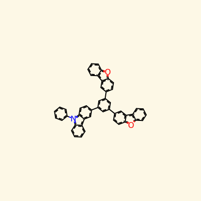 c1ccc(-n2c3ccccc3c3cc(-c4cc(-c5ccc6oc7ccccc7c6c5)cc(-c5ccc6oc7ccccc7c6c5)c4)ccc32)cc1